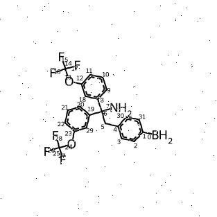 Bc1ccc(CC(N)(c2cccc(OC(F)(F)F)c2)c2cccc(OC(F)(F)F)c2)cc1